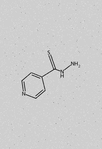 NNC(=S)c1ccncc1